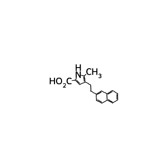 Cc1[nH]c(C(=O)O)cc1CCc1ccc2ccccc2c1